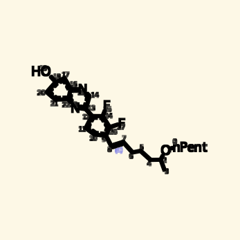 CCCCCOC(C)CCC/C=C/c1ccc(-c2cnc3cc(O)ccc3n2)c(F)c1F